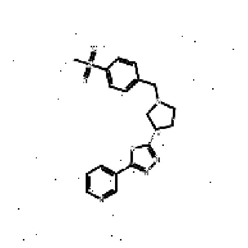 CS(=O)(=O)c1ccc(CN2CC[C@H](c3nnc(-c4cccnc4)o3)C2)cc1